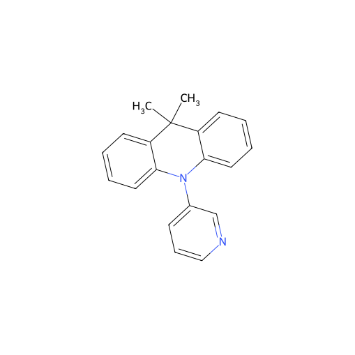 CC1(C)c2ccccc2N(c2cccnc2)c2ccccc21